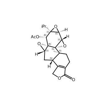 CC(=O)O[C@@H]1[C@@]2(C(C)C)O[C@H]2[C@@H]2O[C@]23[C@]12O[C@H]2C[C@H]1C2=C(CC[C@@]13C)C(=O)OC2